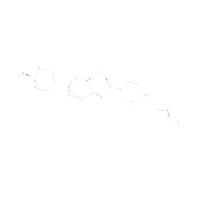 C=CCOc1ccc(-c2ccc3cc([C@H]4CC[C@H](CC)CC4)ccc3c2F)cc1